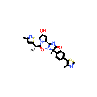 Cc1cc([C@H](C(=O)N2C[C@H](O)C[C@@H]2C2=NC(=O)[C@](C)(c3ccc(-c4scnc4C)cc3)N2)C(C)C)sn1